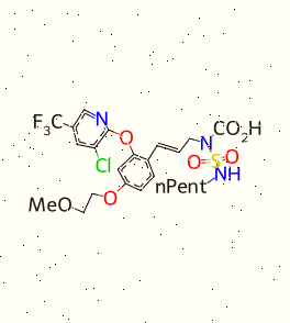 CCCCCNS(=O)(=O)N(CC=Cc1ccc(OCCOC)cc1Oc1ncc(C(F)(F)F)cc1Cl)C(=O)O